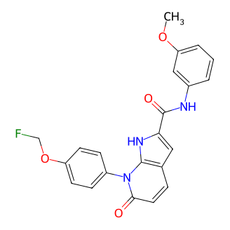 COc1cccc(NC(=O)c2cc3ccc(=O)n(-c4ccc(OCF)cc4)c3[nH]2)c1